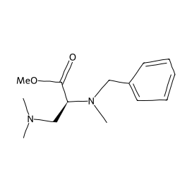 COC(=O)[C@H](CN(C)C)N(C)Cc1ccccc1